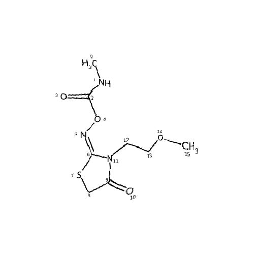 CNC(=O)ON=C1SCC(=O)N1CCOC